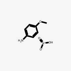 COc1ccc(N)cc1.O=[N+]([O-])O